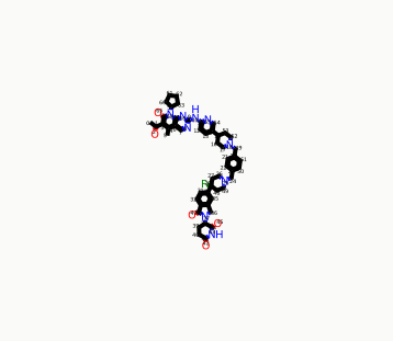 CC(=O)c1c(C)c2cnc(Nc3ccc(C4CCN(Cc5ccc(CN6CCC(F)(c7ccc8c(c7)CN(C7CCC(=O)NC7=O)C8=O)CC6)cc5)CC4)cn3)nc2n(C2CCCC2)c1=O